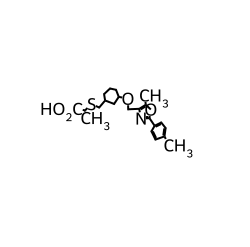 Cc1ccc(-c2nc(COC3CCCC(CSC(C)C(=O)O)C3)c(C)o2)cc1